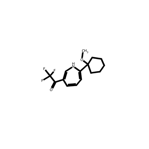 COC1(C2=CC=CC(C(=O)C(F)(F)F)=CN2)CCCCC1